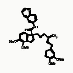 COc1ccc(CCN(C)CCCC2(C(=O)Nc3ccc4ncccc4c3)CCc3c2ccc(OC)c3OC)cc1OC